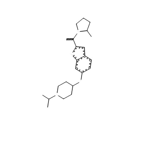 CC(C)N1CCC(Oc2ccc3cc(C(=O)N4CCCC4C)[nH]c3c2)CC1